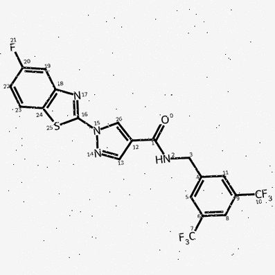 O=C(NCc1cc(C(F)(F)F)cc(C(F)(F)F)c1)c1cnn(-c2nc3cc(F)ccc3s2)c1